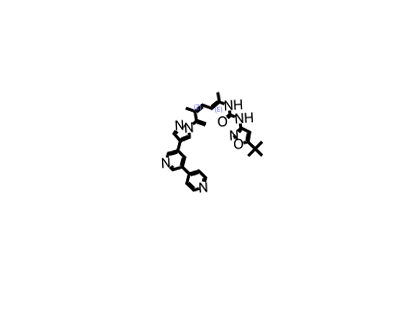 C=C(/C(C)=C\C=C(/C)NC(=O)Nc1cc(C(C)(C)C)on1)n1cc(-c2cncc(-c3ccncc3)c2)cn1